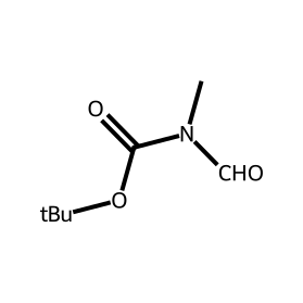 CN(C=O)C(=O)OC(C)(C)C